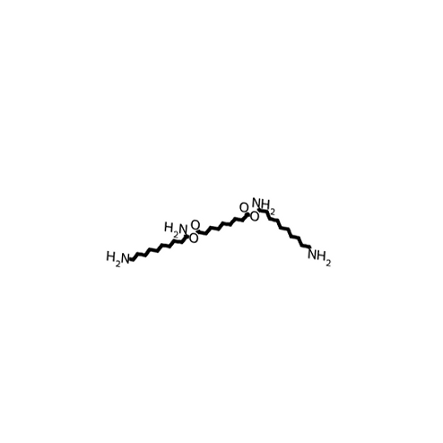 NCCCCCCCCCC(N)OC(=O)CCCCCCCC(=O)OC(N)CCCCCCCCCN